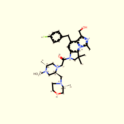 Cc1nc(CO)c2c(Cc3ccc(F)cc3)cc3c(n12)C(C)(C)CN3C(=O)CN1C[C@@H](C)N(C(=O)O)C[C@@H]1CN1CCOC[C@H]1C